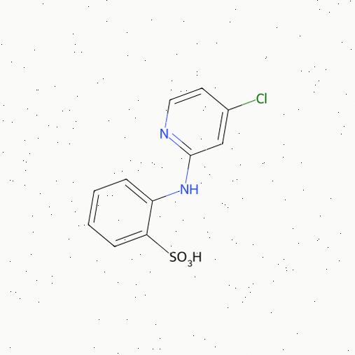 O=S(=O)(O)c1ccccc1Nc1cc(Cl)ccn1